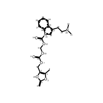 C=C1OC(C)=C(COC(=O)OCOC(=O)n2cc(CCN(C)C)c3ccccc32)O1